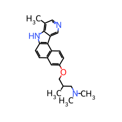 Cc1cncc2c1[nH]c1ccc3cc(OCC(C)CN(C)C)ccc3c12